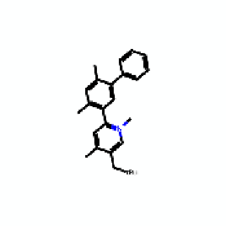 Cc1cc(-c2cc(-c3ccccc3)c(C)cc2C)[n+](C)cc1CC(C)(C)C